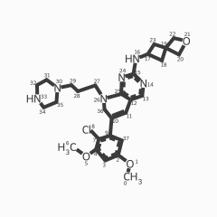 COc1cc(OC)c(Cl)c(C2=Cc3cnc(NC4CC5(COC5)C4)nc3N(CCCN3CCNCC3)C2)c1